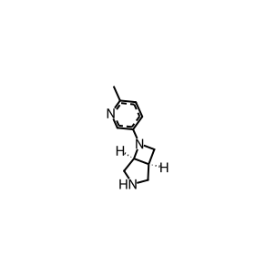 Cc1ccc(N2C[C@H]3CNC[C@H]32)cn1